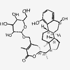 CC1=C(COC2OC(CO)C(O)C(O)C2O)C[C@H]([C@@H](C)[C@H]2CC[C@H]3[C@@H]4C[C@H](O)c5cccc(O)c5[C@H]4CC[C@]23C)OC1=O